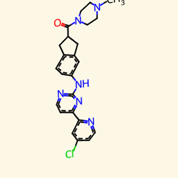 CN1CCN(C(=O)C2Cc3ccc(Nc4nccc(-c5cc(Cl)ccn5)n4)cc3C2)CC1